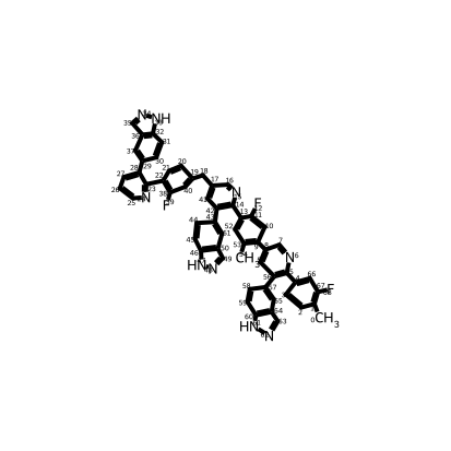 Cc1ccc(-c2ncc(-c3cc(F)c(-c4ncc(Cc5ccc(-c6ncccc6-c6ccc7[nH]ncc7c6)c(F)c5)cc4-c4ccc5[nH]ncc5c4)cc3C)cc2-c2ccc3[nH]ncc3c2)cc1F